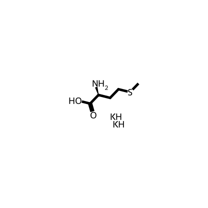 CSCC[C@H](N)C(=O)O.[KH].[KH]